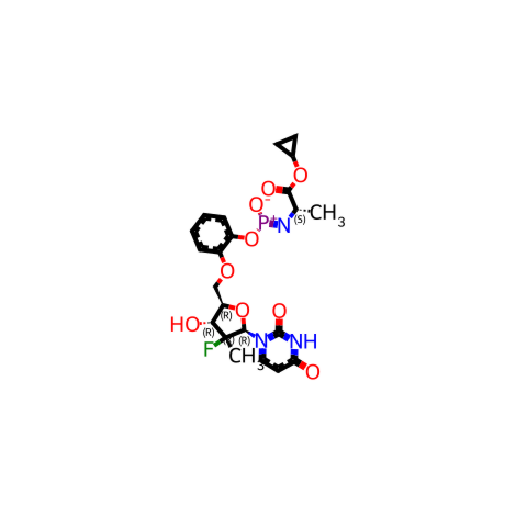 C[C@H](N=[P+]([O-])Oc1ccccc1OC[C@H]1O[C@@H](n2ccc(=O)[nH]c2=O)[C@](C)(F)[C@@H]1O)C(=O)OC1CC1